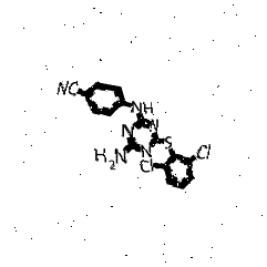 N#Cc1ccc(Nc2nc(N)nc(Sc3c(Cl)cccc3Cl)n2)cc1